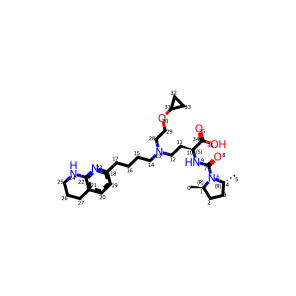 C[C@@H]1CC[C@@H](C)N1C(=O)N[C@@H](CCN(CCCCc1ccc2c(n1)NCCC2)CCOC1CC1)C(=O)O